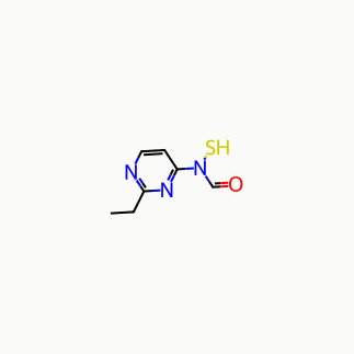 CCc1nccc(N(S)C=O)n1